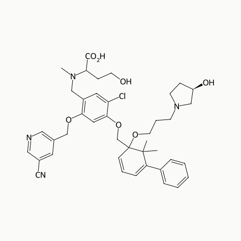 CN(Cc1cc(Cl)c(OCC2(OCCCN3CC[C@@H](O)C3)C=CC=C(c3ccccc3)C2(C)C)cc1OCc1cncc(C#N)c1)C(CCO)C(=O)O